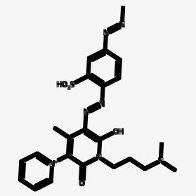 CN=Nc1ccc(N=Nc2c(C)c(-[n+]3ccccc3)c(=O)n(CCCN(C)C)c2O)c(S(=O)(=O)O)c1